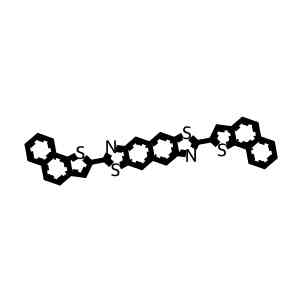 c1ccc2c(c1)ccc1cc(-c3nc4cc5cc6sc(-c7cc8ccc9ccccc9c8s7)nc6cc5cc4s3)sc12